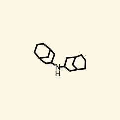 C1CC2CC(C1)CC(NC1CC3CCCC(C3)C1)C2